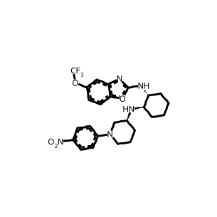 O=[N+]([O-])c1ccc(N2CCC[C@H](N[C@@H]3CCCC[C@H]3Nc3nc4cc(OC(F)(F)F)ccc4o3)C2)cc1